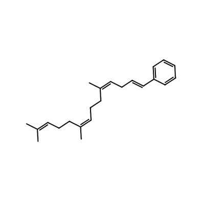 CC(C)=CCCC(C)=CCCC(C)=CCC=Cc1ccccc1